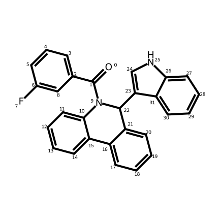 O=C(c1cccc(F)c1)N1c2ccccc2-c2ccccc2C1c1c[nH]c2ccccc12